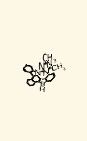 Cc1nc(C)nc(-n2c3ccccc3c3c4ccccc4c4c(c32)-c2ccccc2B4)n1